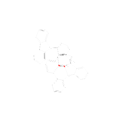 N#Cc1cccc(-n2c3ccccc3c3ccccc32)c1-c1cccc(-c2cccnc2-n2c3ccccc3c3ccccc32)c1C#N